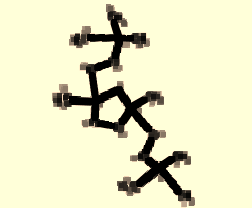 CC(C)(C)OOC1(C)CC(C)(OOC(C)(C)C)OO1